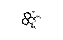 NC(=O)c1cccc2cccc(C(N)=O)c12.[KH]